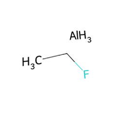 CCF.[AlH3]